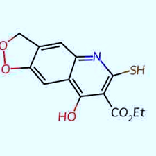 CCOC(=O)c1c(S)nc2cc3c(cc2c1O)OOC3